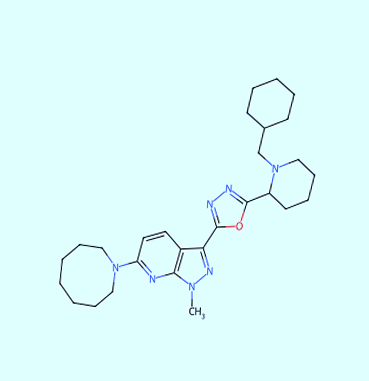 Cn1nc(-c2nnc(C3CCCCN3CC3CCCCC3)o2)c2ccc(N3CCCCCCC3)nc21